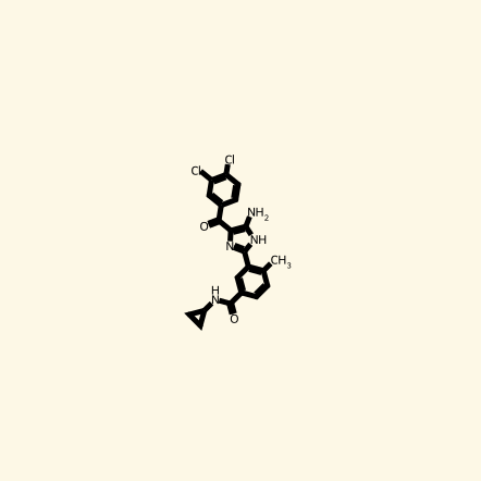 Cc1ccc(C(=O)NC2CC2)cc1-c1nc(C(=O)c2ccc(Cl)c(Cl)c2)c(N)[nH]1